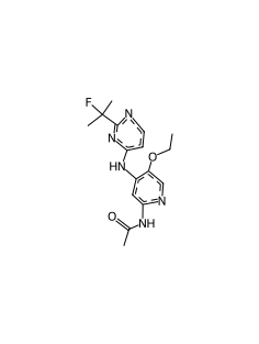 CCOc1cnc(NC(C)=O)cc1Nc1ccnc(C(C)(C)F)n1